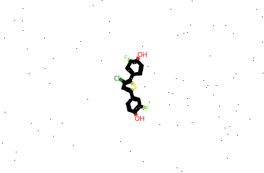 Oc1ccc(-c2cc(Cl)c(-c3ccc(O)c(F)c3)s2)cc1F